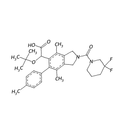 Cc1ccc(-c2c(C)c3c(c(C)c2C(OC(C)(C)C)C(=O)O)CN(C(=O)N2CCCC(F)(F)C2)C3)cc1